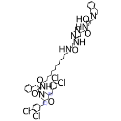 O=C(CNc1cc(C(=O)NC[C@H](O)CN2CCc3ccccc3C2)ncn1)NCCCCCCCCCCCC(=O)N[C@@H](Cc1ccccc1)C(=O)N1C/C(=C\c2ccc(Cl)c(Cl)c2)C(=O)/C(=C/c2ccc(Cl)c(Cl)c2)C1